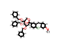 CCOc1ccc(Cc2cc(C34CC(OCc5ccccc5)[C@H](OCc5ccccc5)C(COCc5ccccc5)(CO3)O4)ccc2Cl)cc1